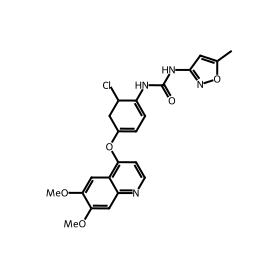 COc1cc2nccc(OC3=CC=C(NC(=O)Nc4cc(C)on4)C(Cl)C3)c2cc1OC